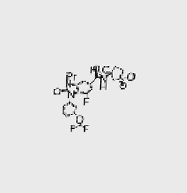 CC(C)n1c(=O)n(-c2cccc(OC(F)F)c2)c2c(F)cc(C(=O)N[C@]3(C)CCS(=O)(=O)C3)cc21